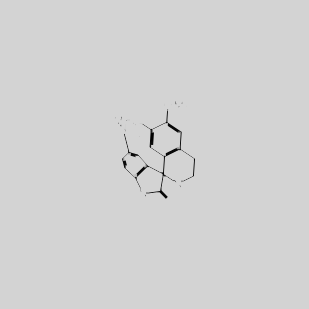 COc1cc2c(cc1OC)C1(NCC2)C(=O)Nc2ccc([N+](=O)[O-])cc21